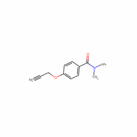 C#CCOc1ccc(C(=O)N(C)CCC)cc1